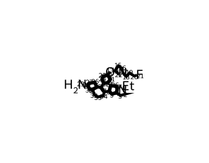 CCN1CCc2cc(C3=C(c4ccc(O[C@H]5CCN(CCCF)C5)cc4)c4ccc(N)cc4CCC3)ccc21